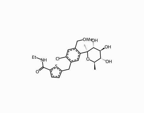 CCNC(=O)c1ccc(Cc2cc([C@]3(C)O[C@H](C)[C@@H](O)[C@H](O)[C@H]3O)c(COC)cc2Cl)s1